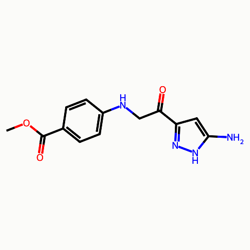 COC(=O)c1ccc(NCC(=O)c2cc(N)[nH]n2)cc1